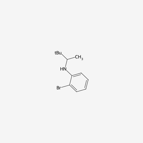 CC(Nc1ccccc1Br)C(C)(C)C